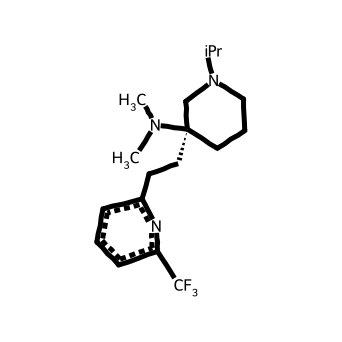 CC(C)N1CCC[C@@](CCc2cccc(C(F)(F)F)n2)(N(C)C)C1